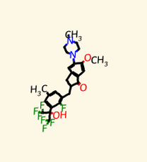 COc1cc2c(cc1N1CCN(C)CC1)CC(Cc1cc(C)cc(C(O)(C(F)(F)F)C(F)(F)F)c1F)C2=O